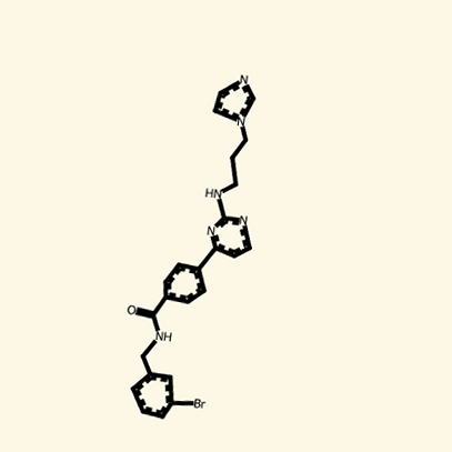 O=C(NCc1cccc(Br)c1)c1ccc(-c2ccnc(NCCCn3ccnc3)n2)cc1